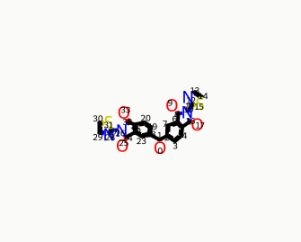 O=C(c1ccc2c(c1)C(=O)N(c1nccs1)C2=O)c1ccc2c(c1)C(=O)N(c1nccs1)C2=O